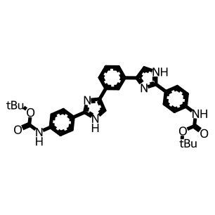 CC(C)(C)OC(=O)Nc1ccc(-c2nc(-c3cccc(-c4c[nH]c(-c5ccc(NC(=O)OC(C)(C)C)cc5)n4)c3)c[nH]2)cc1